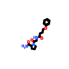 NC(=O)C1CCCN1C(=O)CNC(=O)CCCOc1ccccc1